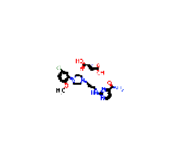 COc1ccc(Cl)cc1N1CCN(CCCNc2nccc(C(N)=O)n2)CC1.O=C(O)/C=C/C(=O)O